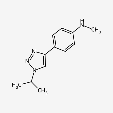 CNc1ccc(-c2cn(C(C)C)nn2)cc1